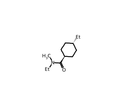 CCN(C)C(=O)[C@H]1CC[C@H](CC)CC1